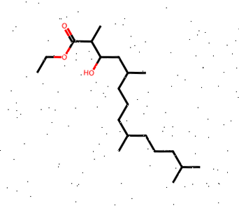 CCOC(=O)C(C)C(O)CC(C)CCCC(C)CCCC(C)C